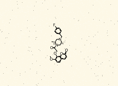 COc1ccc2ccc(=O)oc2c1OCC(=O)N1C[C@@H](C)N(Cc2ccc(F)cc2)C[C@@H]1C